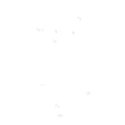 CSNCc1ccc(-c2ccc(-n3cc(C(F)(F)F)nc3C)c(N(N)/C(=C\N)c3ccc(OC(F)(F)F)cc3)c2)cc1SC